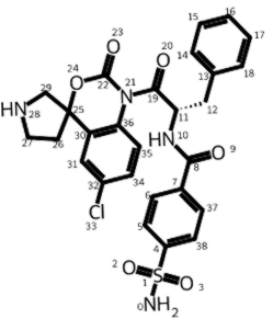 NS(=O)(=O)c1ccc(C(=O)N[C@@H](Cc2ccccc2)C(=O)N2C(=O)OC3(CCNC3)c3cc(Cl)ccc32)cc1